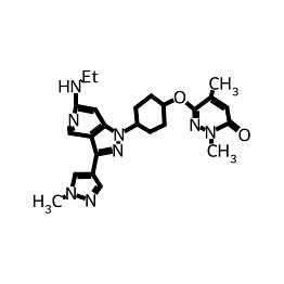 CCNc1cc2c(cn1)c(-c1cnn(C)c1)nn2C1CCC(Oc2nn(C)c(=O)cc2C)CC1